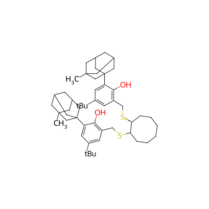 CC12CC3CC(C1)CC(c1cc(C(C)(C)C)cc(CSC4CCCCCC[C@@H]4SCc4cc(C(C)(C)C)cc(C56CC7CC(CC(C)(C7)C5)C6)c4O)c1O)(C3)C2